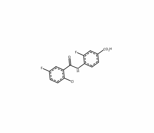 O=C(O)c1ccc(NC(=O)c2cc(F)ccc2Cl)c(F)c1